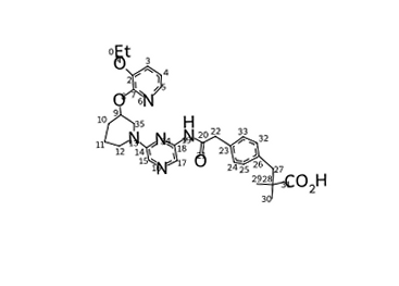 CCOc1cccnc1OC1CCCN(c2cncc(NC(=O)Cc3ccc(CC(C)(C)C(=O)O)cc3)n2)C1